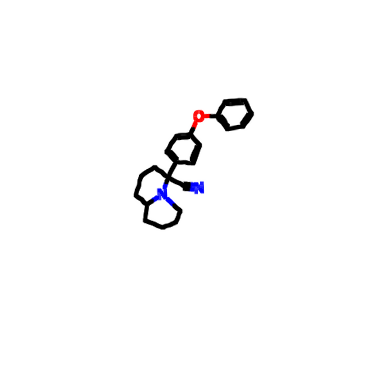 N#CC1(c2ccc(Oc3ccccc3)cc2)CCCC2CCCCN21